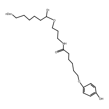 CCCCCCCCCCCCCCCC(CC)OCCCNC(=O)CCCCCOc1ccc(O)cc1